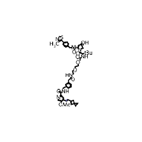 COc1cnc(C(=O)NCc2cccc(CC(=O)NCCOCCOCC(=O)NC(C(=O)N3C[C@H](O)C[C@H]3C(=O)NCc3ccc(-c4scnc4C)cc3)C(C)(C)C)c2)cc1/C=C/C1CC2(CC2)C1